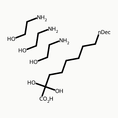 CCCCCCCCCCCCCCCCC(O)(O)C(=O)O.NCCO.NCCO.NCCO